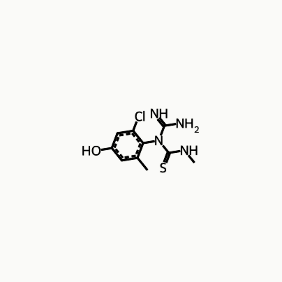 CNC(=S)N(C(=N)N)c1c(C)cc(O)cc1Cl